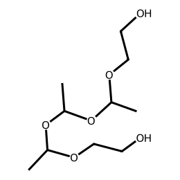 CC(OCCO)OC(C)OC(C)OCCO